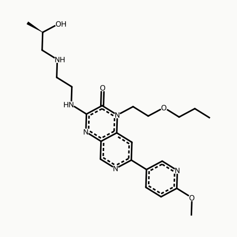 CCCOCCn1c(=O)c(NCCNC[C@@H](C)O)nc2cnc(-c3ccc(OC)nc3)cc21